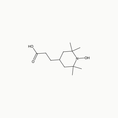 CC1(C)CC(CCC(=O)O)CC(C)(C)N1O